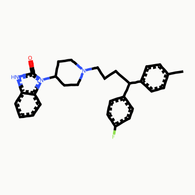 Cc1ccc(C(CCCN2CCC(n3c(=O)[nH]c4ccccc43)CC2)c2ccc(F)cc2)cc1